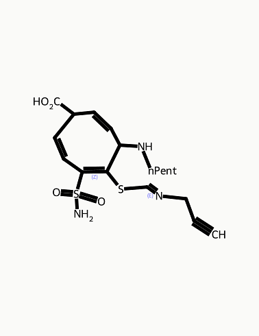 C#CC/N=C/S/C1=C(\S(N)(=O)=O)C=CC(C(=O)O)C=CC1NCCCCC